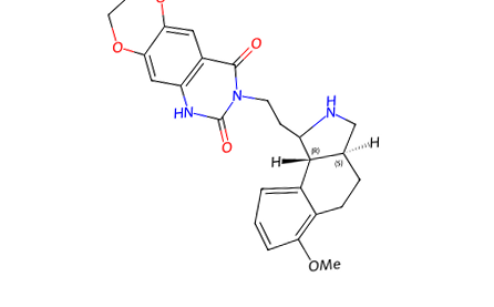 COc1cccc2c1CC[C@@H]1CNC(CCn3c(=O)[nH]c4cc5c(cc4c3=O)OCCO5)[C@@H]21